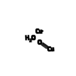 O.[Cu].[O]=[Cu]